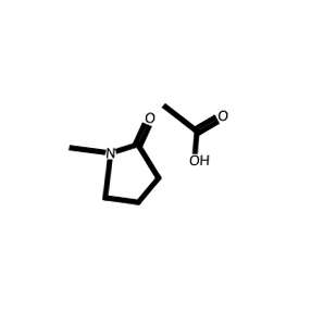 CC(=O)O.CN1CCCC1=O